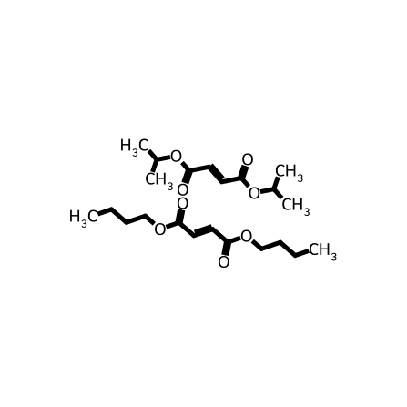 CC(C)OC(=O)C=CC(=O)OC(C)C.CCCCOC(=O)C=CC(=O)OCCCC